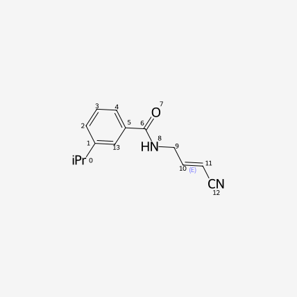 CC(C)c1cccc(C(=O)NC/C=C/C#N)c1